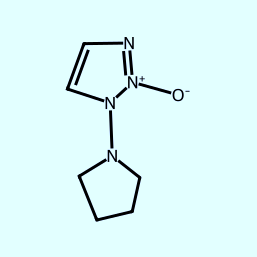 [O-][n+]1nccn1N1CCCC1